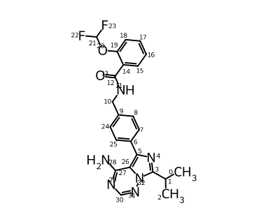 CC(C)c1nc(-c2ccc(CNC(=O)c3ccccc3OC(F)F)cc2)c2c(N)ncnn12